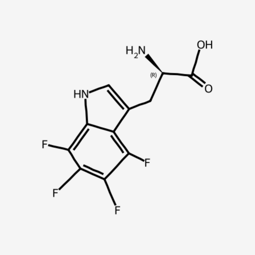 N[C@H](Cc1c[nH]c2c(F)c(F)c(F)c(F)c12)C(=O)O